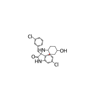 O=C1Nc2cc(Cl)ccc2C1(Cc1cccc(Cl)c1)NC1CCC(O)CC1